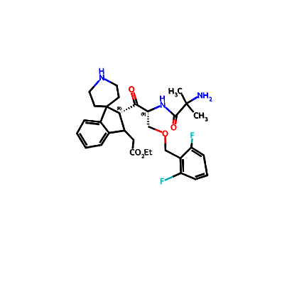 CCOC(=O)CC1c2ccccc2C2(CCNCC2)[C@@H]1C(=O)[C@@H](COCc1c(F)cccc1F)NC(=O)C(C)(C)N